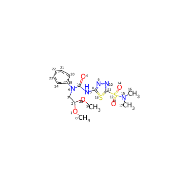 COC(CN(C(=O)Nc1nnc(S(=O)(=O)N(C)C)s1)c1ccccc1)OC